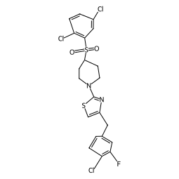 O=S(=O)(c1cc(Cl)ccc1Cl)C1CCN(c2nc(Cc3ccc(Cl)c(F)c3)cs2)CC1